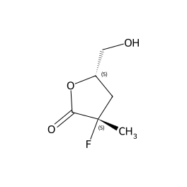 C[C@]1(F)C[C@@H](CO)OC1=O